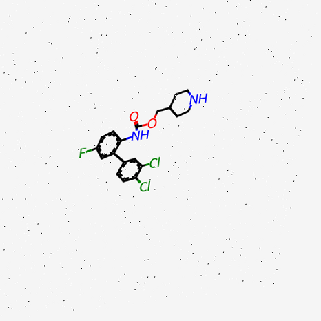 O=C(Nc1ccc(F)cc1-c1ccc(Cl)c(Cl)c1)OCC1CCNCC1